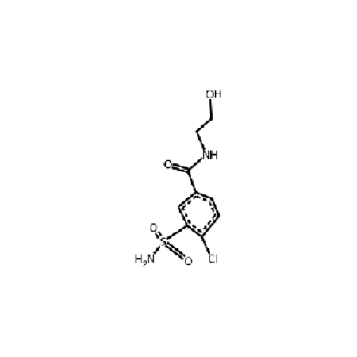 NS(=O)(=O)c1cc(C(=O)NCCO)ccc1Cl